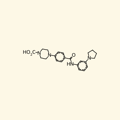 O=C(Nc1cccc(N2CCCC2)c1)c1ccc(N2CCN(C(=O)O)CC2)cc1